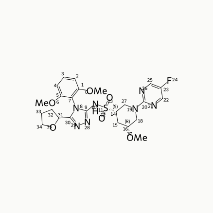 COc1cccc(OC)c1-n1c(NS(=O)(=O)[C@H]2C[C@@H](OC)CN(c3ncc(F)cn3)C2)nnc1C1CCCO1